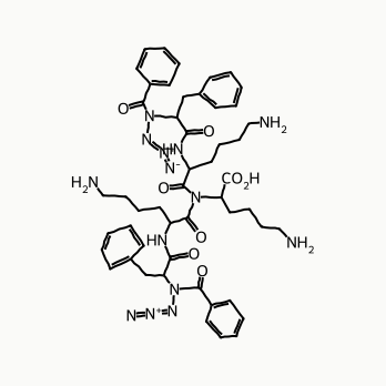 [N-]=[N+]=NN(C(=O)c1ccccc1)C(Cc1ccccc1)C(=O)NC(CCCCN)C(=O)N(C(=O)C(CCCCN)NC(=O)C(Cc1ccccc1)N(N=[N+]=[N-])C(=O)c1ccccc1)C(CCCCN)C(=O)O